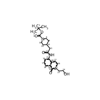 CC(C)(C)OC(=O)N1CCC(CC(=O)Nc2cccc3c(=O)n(CCO)ccc23)CC1